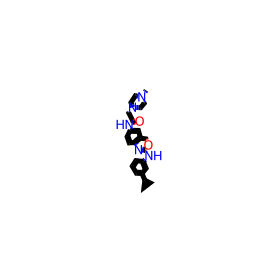 CN1CCN(CC(=O)Nc2ccc3c(c2)COC(Nc2cccc(C4CC4)c2)=N3)CC1